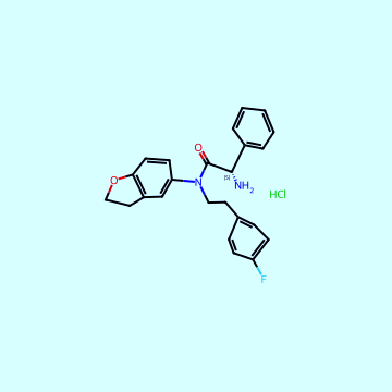 Cl.N[C@H](C(=O)N(CCc1ccc(F)cc1)c1ccc2c(c1)CCO2)c1ccccc1